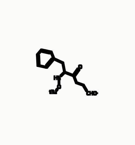 CC(C)(C)ONC(Cc1ccccc1)C(=O)CC[C]=O